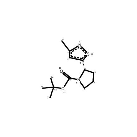 Cc1cc([C@@H]2CCCN2C(=O)OC(C)(C)C)sn1